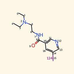 CCN(CC)CCNC(=O)c1cncc([124I])c1